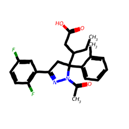 CCC(CC(=O)O)C1(c2ccccc2C)CC(c2cc(F)ccc2F)=NN1C(C)=O